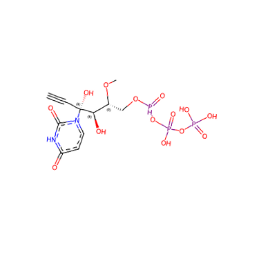 C#C[C@@](O)([C@H](O)[C@@H](CO[PH](=O)OP(=O)(O)OP(=O)(O)O)OC)n1ccc(=O)[nH]c1=O